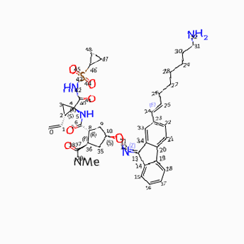 C=C[C@@H]1C[C@]1(NC(=O)[C@@H]1C[C@@H](O/N=C2/c3ccccc3-c3ccc(/C=C/CCCCCCN)cc32)C[C@H]1C(=O)NC)C(=O)NS(=O)(=O)C1CC1